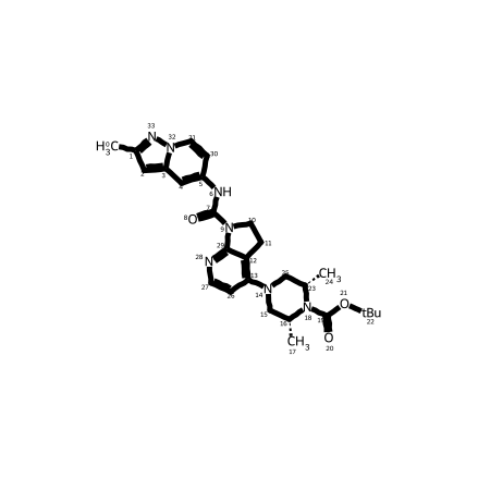 Cc1cc2cc(NC(=O)N3CCc4c(N5C[C@@H](C)N(C(=O)OC(C)(C)C)[C@@H](C)C5)ccnc43)ccn2n1